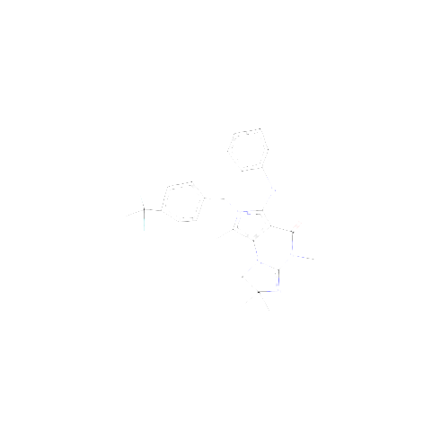 Cc1c2c(c(Nc3ccccc3)n1Cc1ccc(C(C)(F)F)cc1)C(=O)N(C)C1=NC(C)(C)CN12